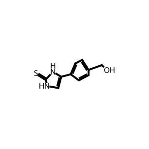 OCc1ccc(-c2c[nH]c(=S)[nH]2)cc1